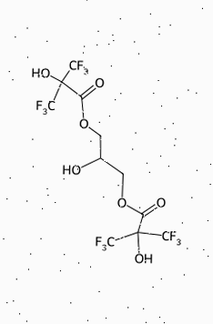 O=C(OCC(O)COC(=O)C(O)(C(F)(F)F)C(F)(F)F)C(O)(C(F)(F)F)C(F)(F)F